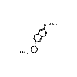 CCCCCCOc1ccc2cc([C@@H]3CC[C@H](CO)C3)ccc2c1